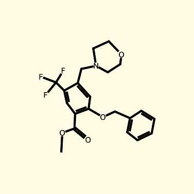 COC(=O)c1cc(C(F)(F)F)c(CN2CCOCC2)cc1OCc1ccccc1